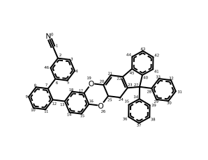 N#Cc1cccc(-c2ccccc2-c2ccc3c(c2)OC2=CC4=C(CC2O3)C(c2ccccc2)(c2ccccc2)c2ccccc24)c1